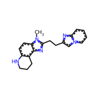 Cn1c(CCc2cn3ccccc3n2)nc2c3c(ccc21)NCCC3